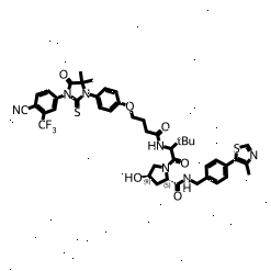 Cc1ncsc1-c1ccc(CNC(=O)[C@@H]2C[C@@H](O)CN2C(=O)C(NC(=O)CCCOc2ccc(N3C(=S)N(c4ccc(C#N)c(C(F)(F)F)c4)C(=O)C3(C)C)cc2)C(C)(C)C)cc1